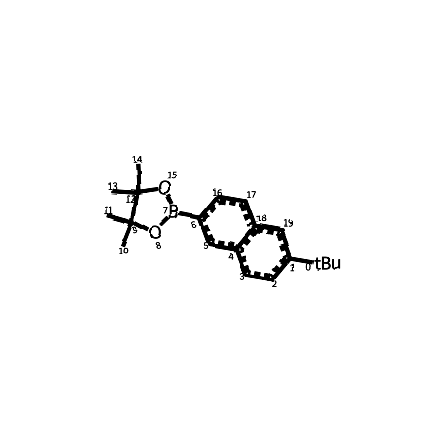 CC(C)(C)c1ccc2cc(B3OC(C)(C)C(C)(C)O3)ccc2c1